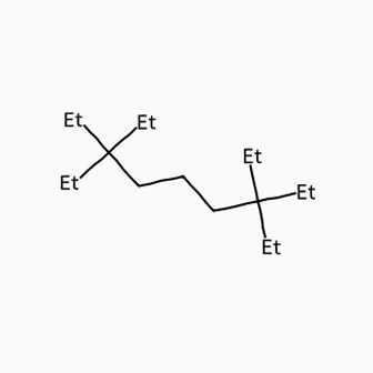 CCC(CC)(CC)CCCC(CC)(CC)CC